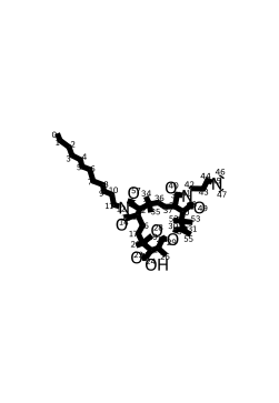 CCCCCCCCCCCCN1C(=O)C(CCC(C)(C)C(C(=O)O)C(C)C(=O)OCC)C(C(C)(C)CCC2C(=O)N(CCCN(C)C)C(=O)C2C(C)(C)CC)C1=O